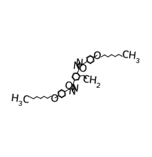 C=Cc1cc(-c2nnc(-c3ccc(OCCCCCCCC)cc3)o2)ccc1-c1nnc(-c2ccc(OCCCCCCCC)cc2)o1